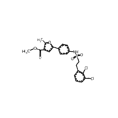 COC(=O)c1cc(-c2ccc(NS(=O)(=O)CCc3cccc(Cl)c3Cl)cc2)oc1C